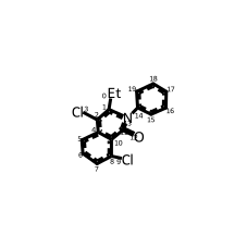 CCc1c(Cl)c2cccc(Cl)c2c(=O)n1-c1ccccc1